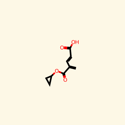 C=C(C=CC(=O)O)C(=O)OC1CC1